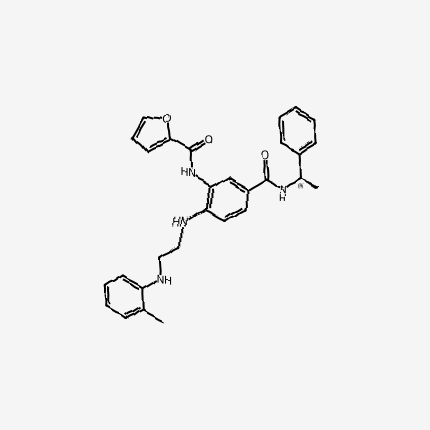 Cc1ccccc1NCCNc1ccc(C(=O)N[C@H](C)c2ccccc2)cc1NC(=O)c1ccco1